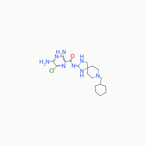 Nc1nc(N)c(C(=O)/N=C2\NCC3(CCN(CC4CCCCC4)CC3)N2)nc1Cl